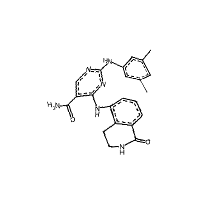 Cc1cc(C)cc(Nc2ncc(C(N)=O)c(Nc3cccc4c3CCNC4=O)n2)c1